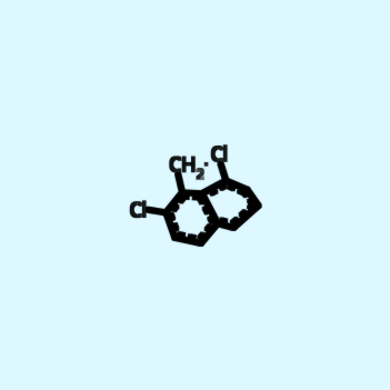 [CH2]c1c(Cl)ccc2cccc(Cl)c12